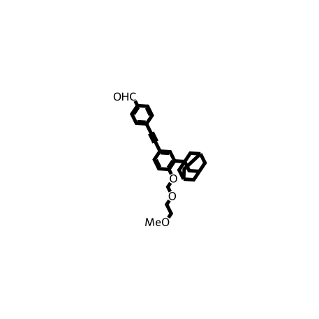 COCCOCOc1ccc(C#Cc2ccc(C=O)cc2)cc1C12CC3CC(CC(C3)C1)C2